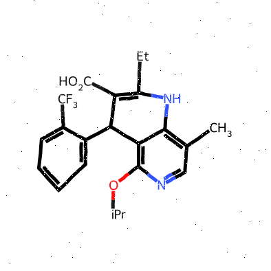 CCC1=C(C(=O)O)C(c2ccccc2C(F)(F)F)c2c(OC(C)C)ncc(C)c2N1